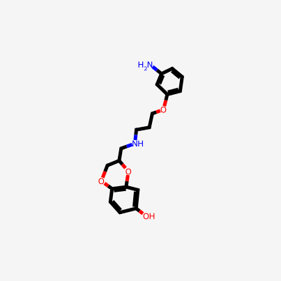 Nc1cccc(OCCCNCC2COc3ccc(O)cc3O2)c1